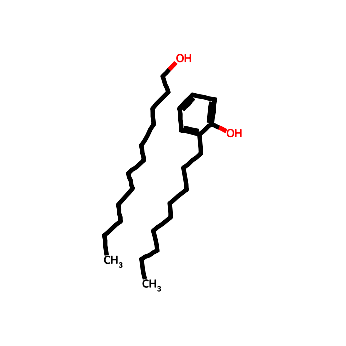 CCCCCCCCCCCCO.CCCCCCCCCc1ccccc1O